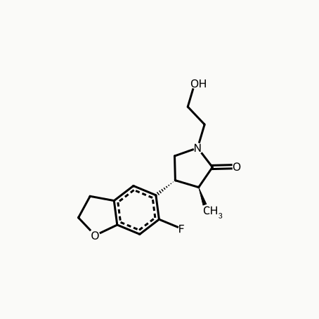 C[C@@H]1C(=O)N(CCO)C[C@H]1c1cc2c(cc1F)OCC2